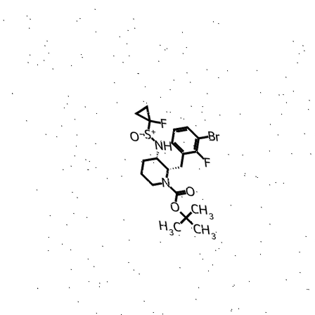 CC(C)(C)OC(=O)N1CCC[C@H](N[S+]([O-])C2(F)CC2)[C@@H]1Cc1cccc(Br)c1F